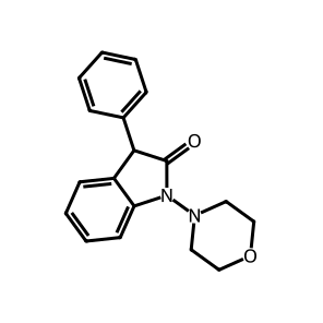 O=C1C(c2ccccc2)c2ccccc2N1N1CCOCC1